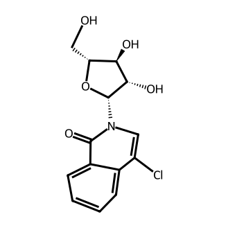 O=c1c2ccccc2c(Cl)cn1[C@@H]1O[C@H](CO)[C@@H](O)[C@@H]1O